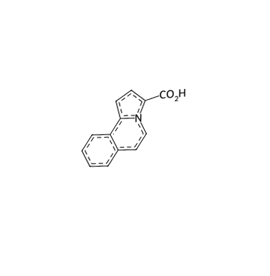 O=C(O)c1ccc2c3ccccc3ccn12